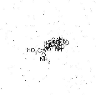 CCCN(C(=O)[C@@H](NC(=O)[C@H]1CCCCN1C)[C@@H](C)CC)[C@H](C[C@@H](OC(C)=O)c1nc(C(=O)N[C@@H](Cc2ccc(N)cc2)CC(C)(C)C(=O)O)cs1)C(C)C